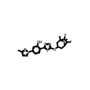 Cc1ccn(-c2ccc(-c3nnc(OC4CC5C(F)C(F)C(C)(C4)N5C)s3)c(O)c2)n1